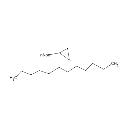 CCCCCCCCCC1[CH]C1.[CH2]CCCCCCCCCCC